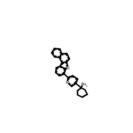 BC1(c2ccc(-c3cccc4c3oc3ccc5ccccc5c34)nc2)CCCCC1